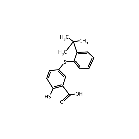 CC(C)(C)c1ccccc1Sc1ccc(S)c(C(=O)O)c1